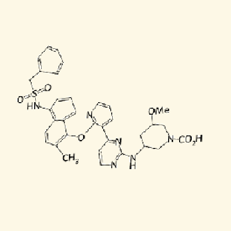 COC1CC(Nc2nccc(-c3cccnc3Oc3c(C)ccc4c(NS(=O)(=O)Cc5ccccc5)cccc34)n2)CN(C(=O)O)C1